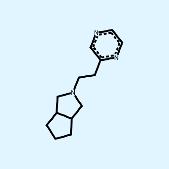 c1cnc(CCN2CC3CCCC3C2)cn1